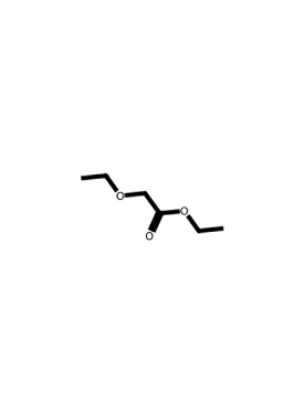 C[CH]OCC(=O)OCC